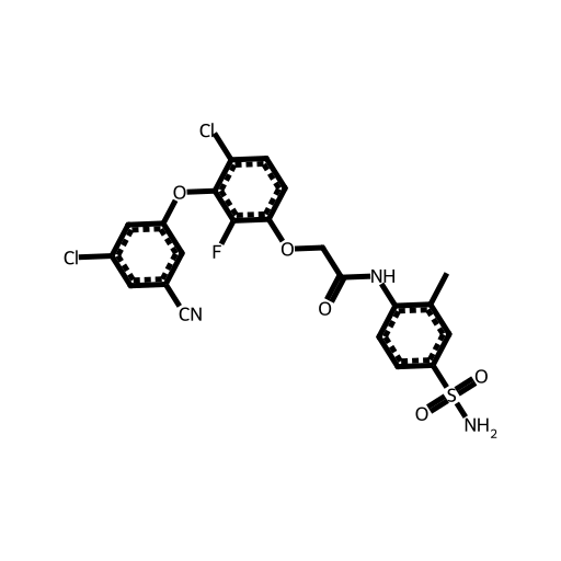 Cc1cc(S(N)(=O)=O)ccc1NC(=O)COc1ccc(Cl)c(Oc2cc(Cl)cc(C#N)c2)c1F